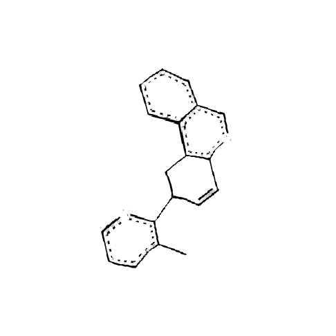 Cc1cccnc1C1C=Cc2ncc3ccccc3c2C1